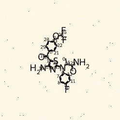 C[C@@H](C(N)=O)N(c1ccc(F)cc1)c1nc(N)c(C(=O)c2ccc(OC(F)F)cc2)s1